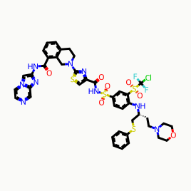 O=C(NS(=O)(=O)c1ccc(N[C@H](CCN2CCOCC2)CSc2ccccc2)c(S(=O)(=O)C(F)(F)Cl)c1)c1csc(N2CCc3cccc(C(=O)Nc4cn5ccncc5n4)c3C2)n1